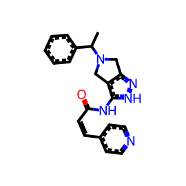 CC(c1ccccc1)N1Cc2n[nH]c(NC(=O)/C=C\c3ccncc3)c2C1